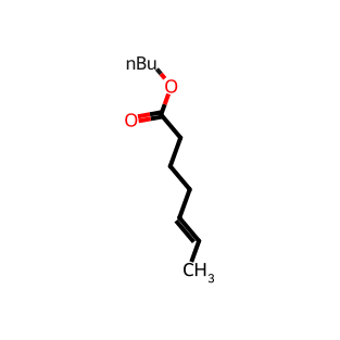 CC=CCCCC(=O)OCCCC